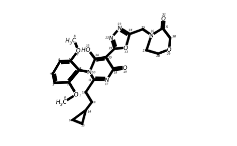 COc1cccc(OC)c1-n1c(CCC2CC2)nc(=O)c(-c2nnc(CN3CCOCC3=O)o2)c1O